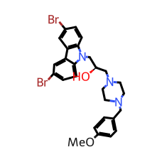 COc1ccc(CN2CCN(C[C@@H](O)Cn3c4ccc(Br)cc4c4cc(Br)ccc43)CC2)cc1